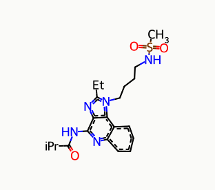 CCc1nc2c(NC(=O)C(C)C)nc3ccccc3c2n1CCCCNS(C)(=O)=O